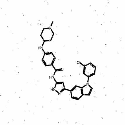 CN1CCC(Nc2ccc(C(=O)Nc3cc(-c4ccc5ccn(-c6cccc(Cl)c6)c5c4)n[nH]3)cc2)CC1